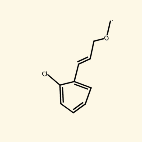 [CH2]OCC=Cc1ccccc1Cl